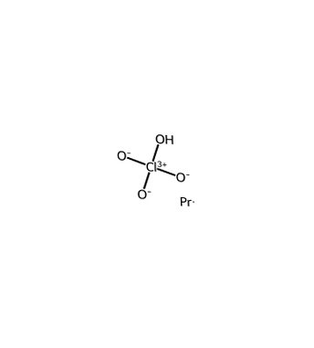 [O-][Cl+3]([O-])([O-])O.[Pr]